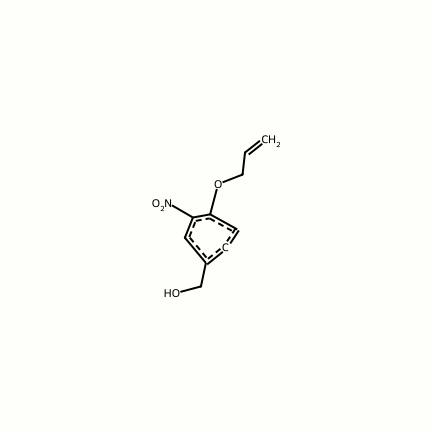 C=CCOc1ccc(CO)cc1[N+](=O)[O-]